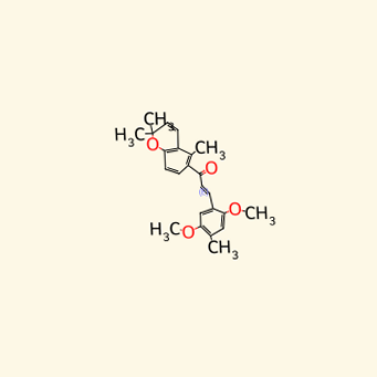 COc1cc(/C=C/C(=O)c2ccc3c(c2C)C=CC(C)(C)O3)c(OC)cc1C